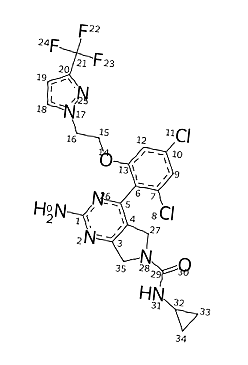 Nc1nc2c(c(-c3c(Cl)cc(Cl)cc3OCCn3ccc(C(F)(F)F)n3)n1)CN(C(=O)NC1CC1)C2